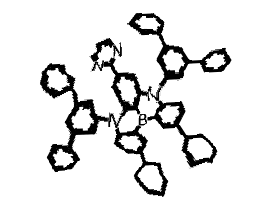 c1ccc(-c2cc(-c3ccccc3)cc(N3c4ccc(C5CCCCC5)cc4B4c5cc(C6CCCCC6)ccc5N(c5cc(-c6ccccc6)cc(-c6ccccc6)c5)c5cc(-c6ncccn6)cc3c54)c2)cc1